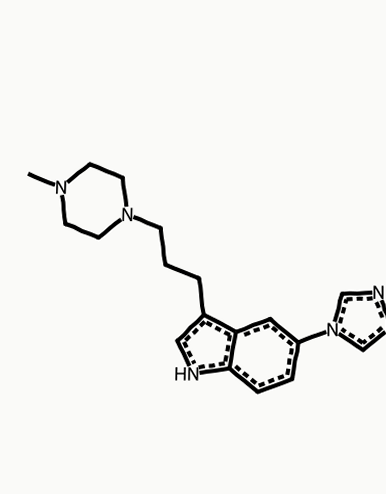 CN1CCN(CCCc2c[nH]c3ccc(-n4cnnc4)cc23)CC1